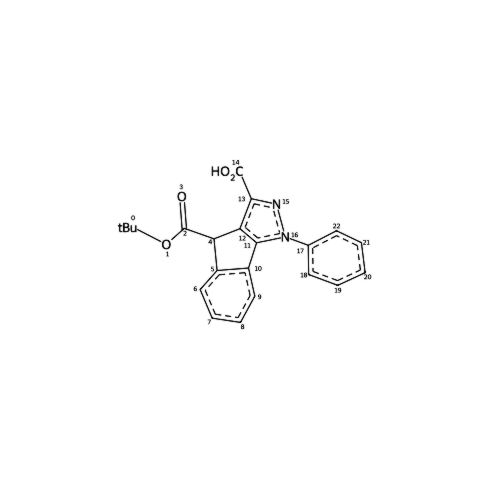 CC(C)(C)OC(=O)C1c2ccccc2-c2c1c(C(=O)O)nn2-c1ccccc1